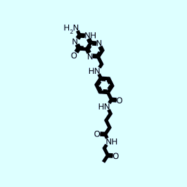 CC(=O)CNC(=O)CCCNC(=O)c1ccc(NCc2cnc3[nH]c(N)nc(=O)c3n2)cc1